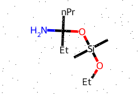 CCCC(N)(CC)O[Si](C)(C)OCC